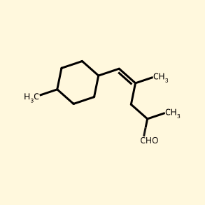 CC(=CC1CCC(C)CC1)CC(C)C=O